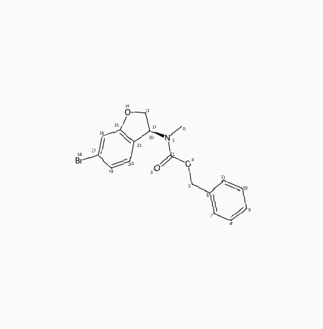 CN(C(=O)OCc1ccccc1)[C@@H]1COc2cc(Br)ccc21